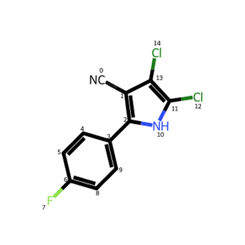 N#Cc1c(-c2ccc(F)cc2)[nH]c(Cl)c1Cl